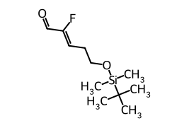 CC(C)(C)[Si](C)(C)OCCC=C(F)C=O